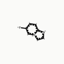 Fc1ccc2nc[c]n2c1